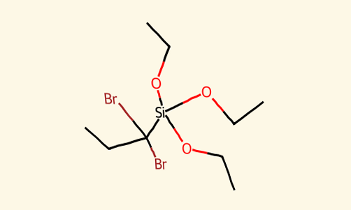 CCO[Si](OCC)(OCC)C(Br)(Br)CC